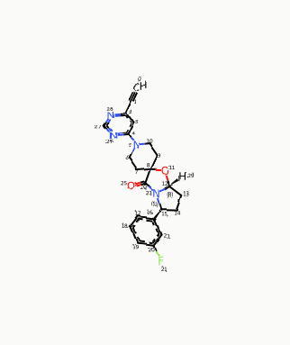 C#Cc1cc(N2CCC3(CC2)O[C@@H]2CC[C@@H](c4cccc(F)c4)N2C3=O)ncn1